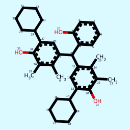 Cc1c(C(c2ccccc2O)c2cc(C3CCCCC3)c(O)c(C)c2C)cc(C2CCCCC2)c(O)c1C